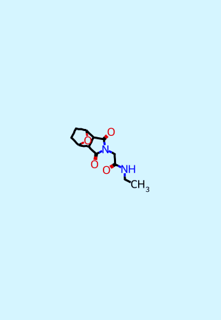 CCNC(=O)CN1C(=O)C2C3CCC(O3)C2C1=O